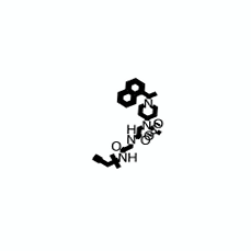 C#CCC(C)(C)NC(=O)CNC(=O)CN(C1CCN(C(C)c2cccc3ccccc23)CC1)S(C)(=O)=O